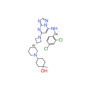 C[C@@H](Nc1cc(N2CC([C@H]3CCCN(C4CCC(C)(O)CC4)C3)C2)nc2ncnn12)c1ccc(Cl)cc1Cl